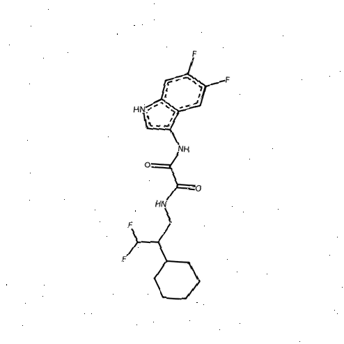 O=C(NCC(C(F)F)C1CCCCC1)C(=O)Nc1c[nH]c2cc(F)c(F)cc12